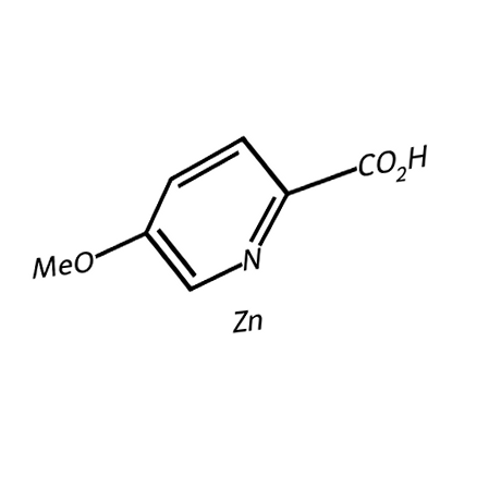 COc1ccc(C(=O)O)nc1.[Zn]